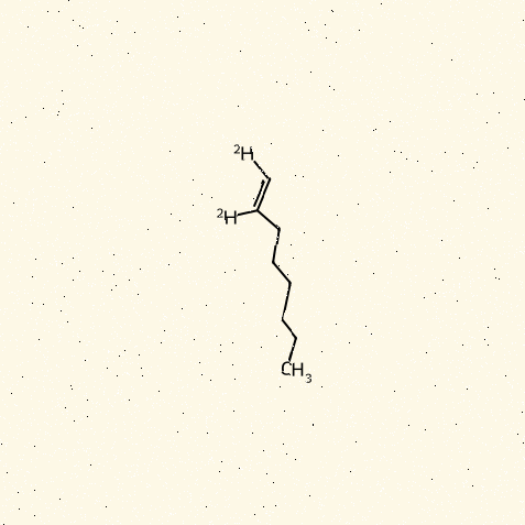 [2H]/C=C(\[2H])CCCCCC